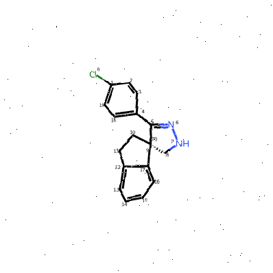 Clc1ccc(C2=NNC[C@]23CCc2ccccc23)cc1